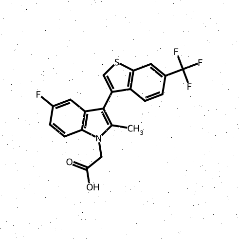 Cc1c(-c2csc3cc(C(F)(F)F)ccc23)c2cc(F)ccc2n1CC(=O)O